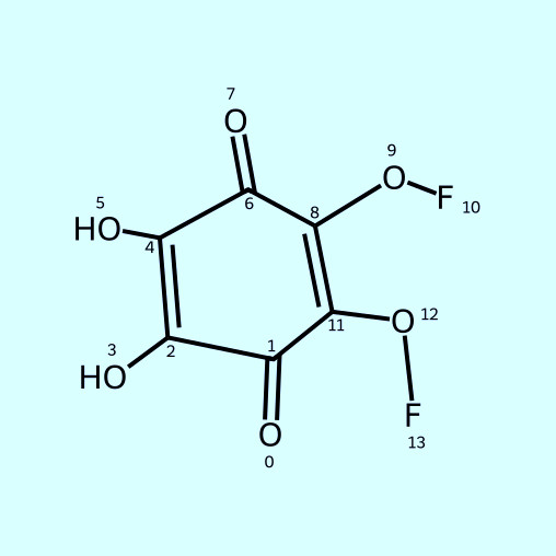 O=C1C(O)=C(O)C(=O)C(OF)=C1OF